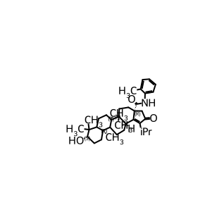 Cc1ccccc1NC(=O)[C@@]12CC[C@]3(C)[C@H](CCC4[C@@]5(C)CC[C@H](O)C(C)(C)C5CC[C@]43C)C1=C(C(C)C)C(=O)C2